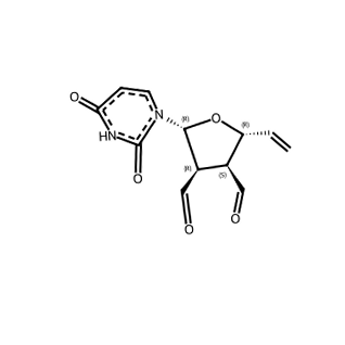 C=C[C@H]1O[C@@H](n2ccc(=O)[nH]c2=O)[C@H](C=O)[C@@H]1C=O